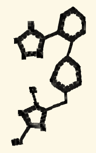 CCn1nc(C(C)(C)C)nc1Cc1ccc(-c2ccccc2-c2nnn[nH]2)cc1